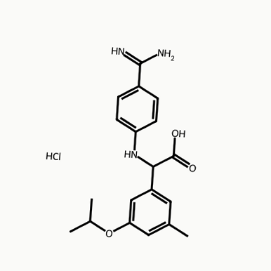 Cc1cc(OC(C)C)cc(C(Nc2ccc(C(=N)N)cc2)C(=O)O)c1.Cl